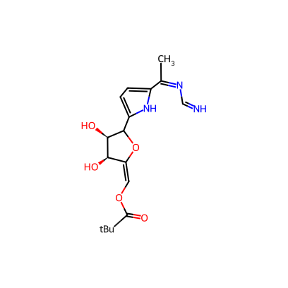 C/C(=N/C=N)c1ccc(C2O/C(=C/OC(=O)C(C)(C)C)[C@@H](O)[C@H]2O)[nH]1